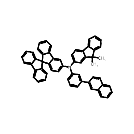 CC1(C)c2ccccc2-c2ccc(N(c3cccc(-c4ccc5ccccc5c4)c3)c3ccc4c(c3)-c3ccccc3C43c4ccccc4-c4ccccc43)cc21